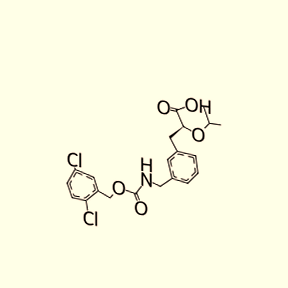 CC(C)O[C@@H](Cc1cccc(CNC(=O)OCc2cc(Cl)ccc2Cl)c1)C(=O)O